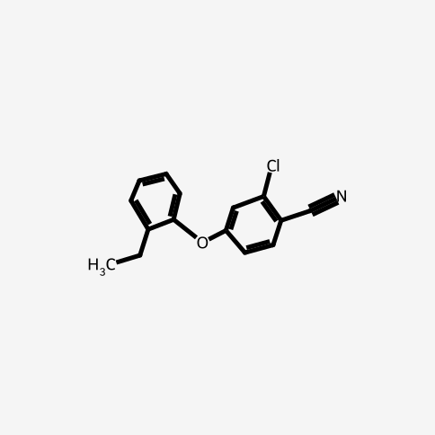 CCc1ccccc1Oc1ccc(C#N)c(Cl)c1